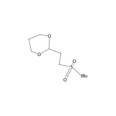 CC(C)(C)S(=O)(=O)CCC1OCCCO1